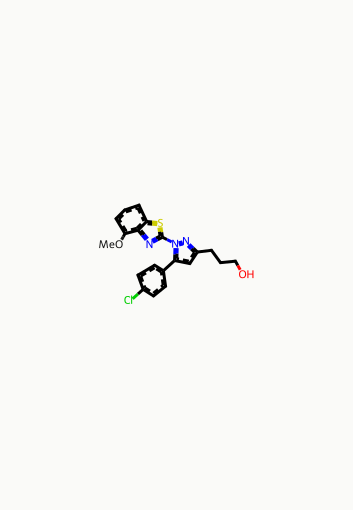 COc1cccc2sc(-n3nc(CCCO)cc3-c3ccc(Cl)cc3)nc12